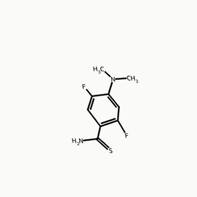 CN(C)c1cc(F)c(C(N)=S)cc1F